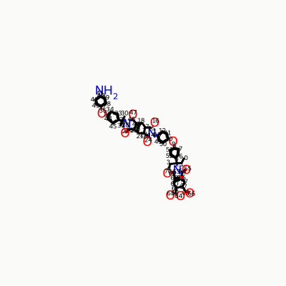 CCC(CC)(c1ccc(Oc2ccc(N3C(=O)C4C5C=CC(C4C3=O)C3C(=O)N(C(C)(C)c4ccc(Oc6ccc(N)cc6)cc4)C(=O)C53)cc2)cc1)N1C(=O)C2C3C=CC(C4C(=O)OC(=O)C34)C2C1=O